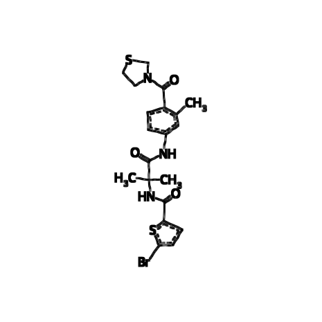 Cc1cc(NC(=O)C(C)(C)NC(=O)c2ccc(Br)s2)ccc1C(=O)N1CCSC1